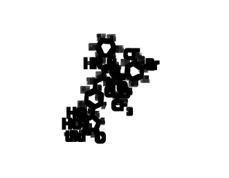 CC(C)(C)N1C(=O)CC(c2ccc(C[C@@H](c3nc4ccccc4[nH]3)N(OC(=O)C(F)(F)F)S(=O)(=O)c3ccc(Br)c(C(F)(F)F)c3)cc2)S1(O)O